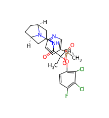 CC(C)(Oc1ccc(F)c(Cl)c1Cl)C(=O)N[C@H]1C[C@H]2CC[C@@H](C1)N2c1ccc(S(C)(=O)=O)cn1